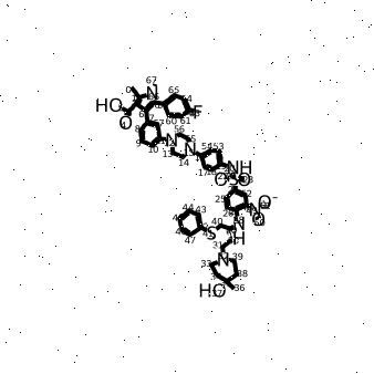 Cc1c(C(=O)O)c(-c2cccc(N3CCN(c4ccc(NS(=O)(=O)c5ccc(N[C@H](CCN6CCC(C)(O)CC6)CSc6ccccc6)c([N+](=O)[O-])c5)cc4)CC3)c2)c(-c2ccc(F)cc2)n1C